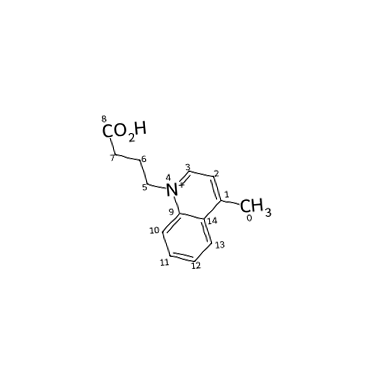 Cc1cc[n+](CCCC(=O)O)c2ccccc12